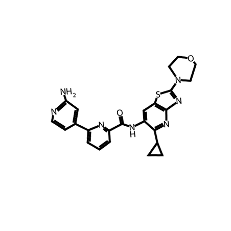 Nc1cc(-c2cccc(C(=O)Nc3cc4sc(N5CCOCC5)nc4nc3C3CC3)n2)ccn1